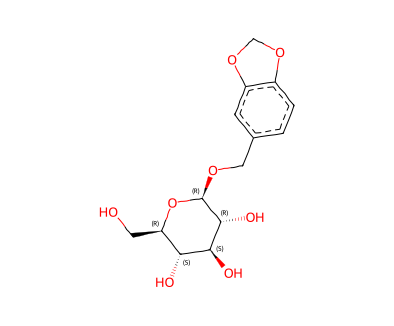 OC[C@H]1O[C@@H](OCc2ccc3c(c2)OCO3)[C@H](O)[C@@H](O)[C@@H]1O